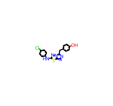 Oc1ccc(Cc2nnc3sc(Nc4ccc(Cl)cc4)nn23)cc1